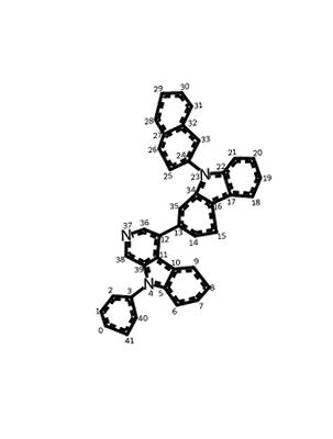 c1ccc(-n2c3ccccc3c3c(-c4ccc5c6ccccc6n(-c6ccc7ccccc7c6)c5c4)cncc32)cc1